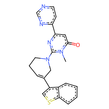 Cn1c(N2CCC=C(c3csc4ccccc34)C2)nc(-c2ccncn2)cc1=O